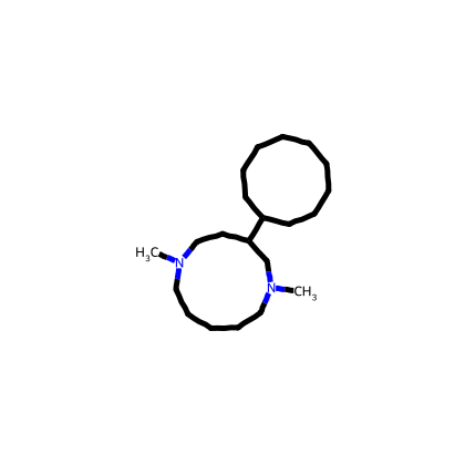 CN1CCCCCN(C)CC(C2CCCCCCCCC2)CC1